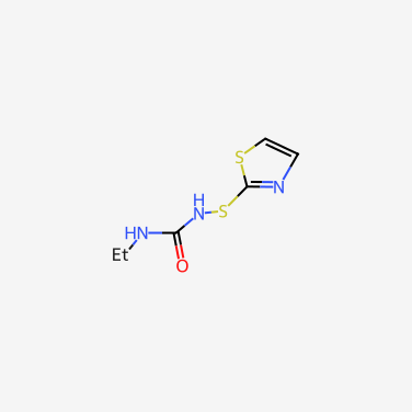 CCNC(=O)NSc1nccs1